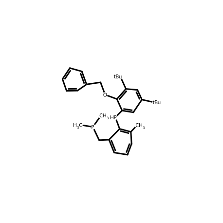 Cc1cccc(CP(C)C)c1Pc1cc(C(C)(C)C)cc(C(C)(C)C)c1OCc1ccccc1